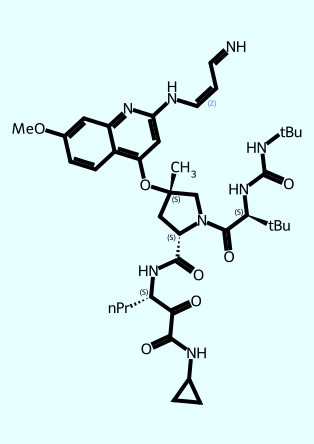 CCC[C@H](NC(=O)[C@@H]1C[C@](C)(Oc2cc(N/C=C\C=N)nc3cc(OC)ccc23)CN1C(=O)[C@@H](NC(=O)NC(C)(C)C)C(C)(C)C)C(=O)C(=O)NC1CC1